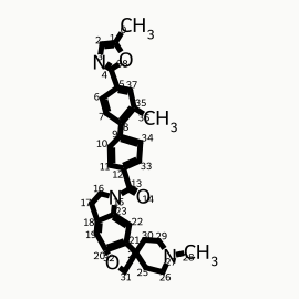 Cc1cnc(-c2ccc(-c3ccc(C(=O)N4CCc5cc6c(cc54)C4(CCN(C)CC4)CO6)cc3)c(C)c2)o1